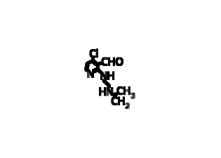 C=C(C)NCCNc1nccc(Cl)c1C=O